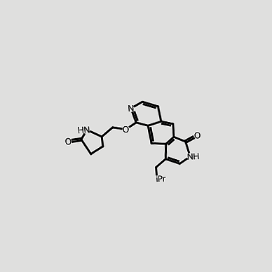 CC(C)Cc1c[nH]c(=O)c2cc3ccnc(OCC4CCC(=O)N4)c3cc12